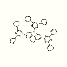 c1ccc(-c2cc(-c3ccccc3)nc(-n3c4cc(-c5nc(-c6ccccc6)nc(-c6ccccc6)n5)cc5c4c4c(cc(-c6nc(-c7ccccc7)nc(-c7ccccc7)n6)cc43)CC5)c2)cc1